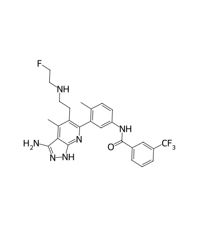 Cc1ccc(NC(=O)c2cccc(C(F)(F)F)c2)cc1-c1nc2[nH]nc(N)c2c(C)c1CCNCCF